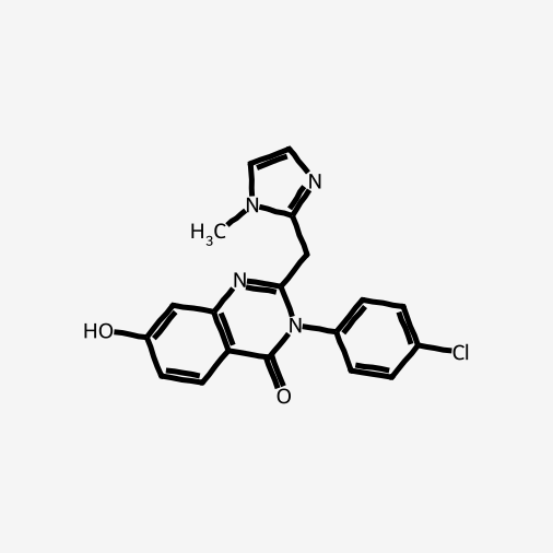 Cn1ccnc1Cc1nc2cc(O)ccc2c(=O)n1-c1ccc(Cl)cc1